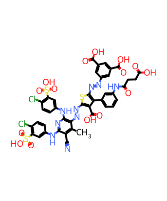 Cc1c(C#N)c(Nc2ccc(Cl)c(S(=O)(=O)O)c2)nc(Nc2ccc(Cl)c(S(=O)(=O)O)c2)c1N=Nc1sc(N=Nc2cc(C(=O)O)cc(C(=O)O)c2)c(-c2cccc(NC(=O)CCC(=O)O)c2)c1C(=O)O